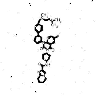 CN(C)CCN(C)Cc1ccc(-c2cccc(-n3c(=O)n([C@H]4CC[C@@H](NC(=O)c5cn6c(n5)CCCC6)CC4)c(=O)c4cc(F)cnc43)c2)cc1